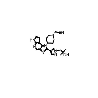 CC(C)(O)Cn1cc(-c2nc3cnc4[nH]ccc4c3n2[C@H]2CC[C@H](CC#N)CC2)cn1